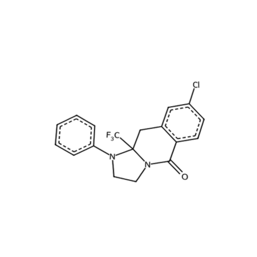 O=C1c2ccc(Cl)cc2CC2(C(F)(F)F)N1CCN2c1ccccc1